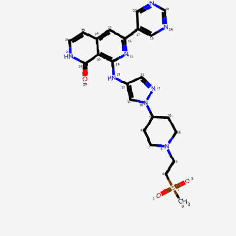 CS(=O)(=O)CCN1CCC(n2cc(Nc3nc(-c4cncnc4)cc4cc[nH]c(=O)c34)cn2)CC1